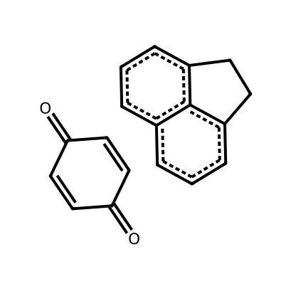 O=C1C=CC(=O)C=C1.c1cc2c3c(cccc3c1)CC2